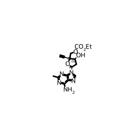 C#C[C@]1(COC(=O)OCC)O[C@@H](n2cnc3c(N)nc(C)nc32)C[C@@H]1O